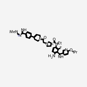 CCN(C(=O)[C@@H]1CCN(CC(=O)N2CC=C(c3ccc(C(=N)/N=C\NC)cc3)CC2)C1)c1ccc(N)c(C(=N)c2ccc(OC(C)C)nc2)c1F